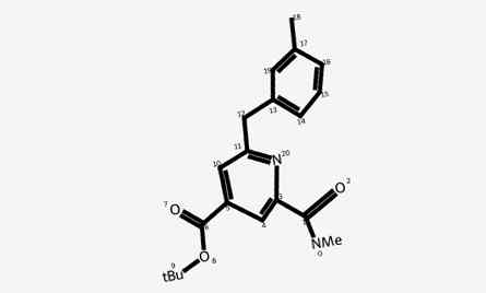 CNC(=O)c1cc(C(=O)OC(C)(C)C)cc(Cc2cccc(C)c2)n1